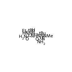 CC[C@H](Nc1nc(NCC[C@H](Nc2nc(NC)ncc2C(N)=O)C(C)(C)C)ncc1C(N)=O)C(C)(C)C